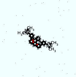 Cc1nc(C)nc(-c2ccc3c(c2)c2ccccc2n3-c2cncc(-n3c4ccccc4c4cc(-c5nc(C)nc(C)n5)ccc43)c2-c2ccccc2C#N)n1